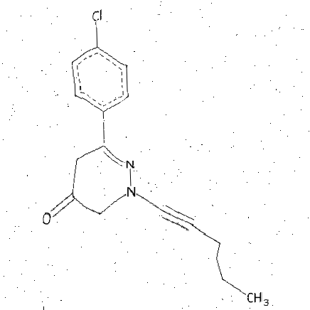 CCCC#CN1CC(=O)CC(c2ccc(Cl)cc2)=N1